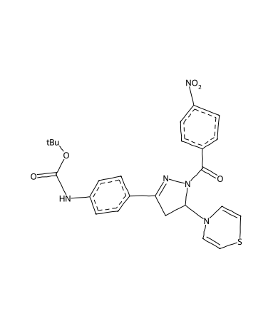 CC(C)(C)OC(=O)Nc1ccc(C2=NN(C(=O)c3ccc([N+](=O)[O-])cc3)C(N3C=CSC=C3)C2)cc1